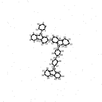 c1ccc(-n2c3ccccc3c3ccc(-c4ccc5c6ccccc6n(-c6ccc(-c7ccc(-n8c9ccccc9c9ccccc98)cc7)cc6)c5c4)cc32)cc1